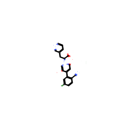 COc1cn(C(Cc2cccnc2)C(=O)O)c(=O)cc1-c1cc(Cl)ccc1C#N.Cl